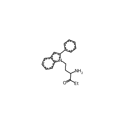 CCC(=O)C(N)CCn1c(-c2ccccc2)cc2ccccc21